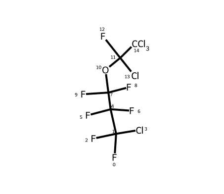 FC(F)(Cl)C(F)(F)C(F)(F)OC(F)(Cl)C(Cl)(Cl)Cl